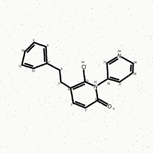 O=c1ccc(CCc2ccccc2)c(Cl)n1-c1cccnc1